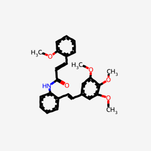 COc1ccccc1/C=C/C(=O)Nc1ccccc1/C=C/c1cc(OC)c(OC)c(OC)c1